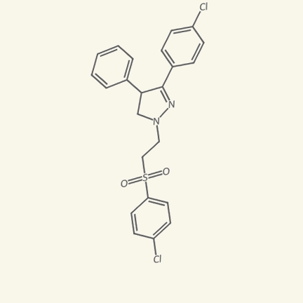 O=S(=O)(CCN1CC(c2ccccc2)C(c2ccc(Cl)cc2)=N1)c1ccc(Cl)cc1